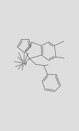 Cc1cc2c(cc1C)[C](CC(C)c1ccccc1)([Hf]([CH3])([CH3])([CH3])([CH3])([CH3])([CH3])([CH3])[CH]1C=CC=C1)C=C2